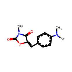 CC(=O)N(C)c1ccc(/C=C2/OC(=O)N(C(C)(C)C)C2=O)cc1